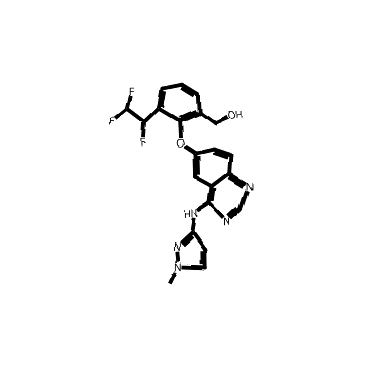 Cn1ccc(Nc2ncnc3ccc(Oc4c(CO)cccc4C(F)C(F)F)cc23)n1